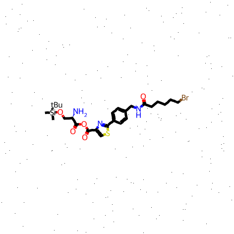 CC(C)(C)[Si](C)(C)OC[C@H](N)C(=O)OC(=O)c1csc(-c2ccc(CNC(=O)CCCCCBr)cc2)n1